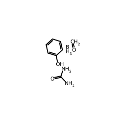 B.C=O.NC(N)=O.Oc1ccccc1